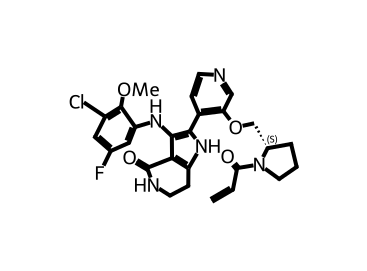 C=CC(=O)N1CCC[C@H]1COc1cnccc1-c1[nH]c2c(c1Nc1cc(F)cc(Cl)c1OC)C(=O)NCC2